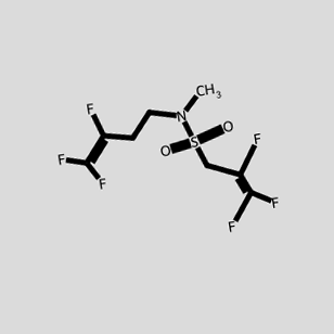 CN(CCC(F)=C(F)F)S(=O)(=O)CC(F)=C(F)F